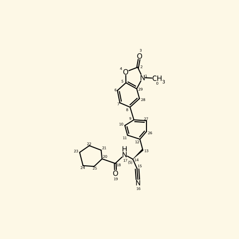 Cn1c(=O)oc2ccc(-c3ccc(C[C@@H](C#N)NC(=O)C4CCCCC4)cc3)cc21